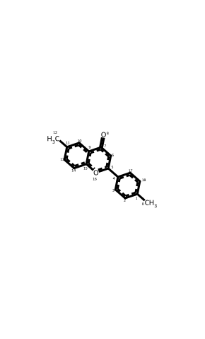 Cc1ccc(-c2cc(=O)c3cc(C)ccc3o2)cc1